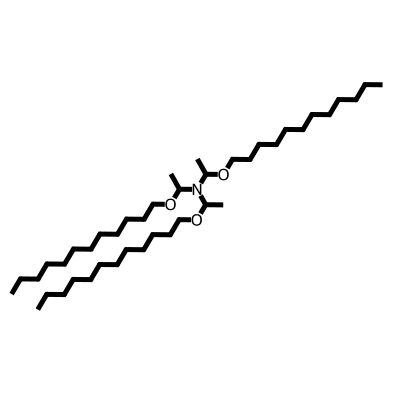 CCCCCCCCCCCCOC(C)N(C(C)OCCCCCCCCCCCC)C(C)OCCCCCCCCCCCC